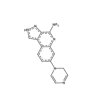 Nc1nc2cc(N3C=CN=CC3)ccc2c2c[nH]nc12